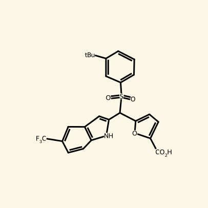 CC(C)(C)c1cccc(S(=O)(=O)C(c2cc3cc(C(F)(F)F)ccc3[nH]2)c2ccc(C(=O)O)o2)c1